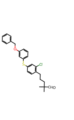 CC(C)(C=O)CCCc1ccc(Sc2cccc(OCc3ccccc3)c2)cc1Cl